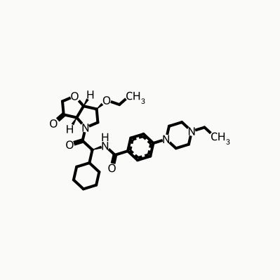 CCO[C@H]1CN(C(=O)[C@@H](NC(=O)c2ccc(N3CCN(CC)CC3)cc2)C2CCCCC2)[C@@H]2C(=O)CO[C@H]12